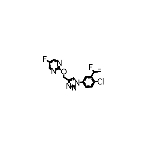 Fc1cnc(OCc2cn(-c3ccc(Cl)c(C(F)F)c3)nn2)nc1